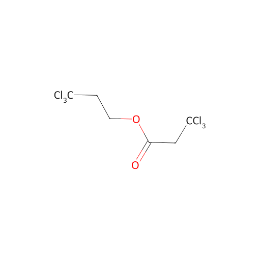 O=C(CC(Cl)(Cl)Cl)OCCC(Cl)(Cl)Cl